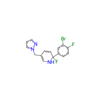 Fc1ccc(C2(F)C=CC(Cn3cccn3)=CN2)cc1Br